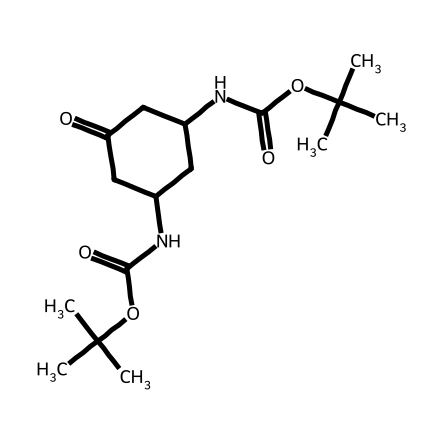 CC(C)(C)OC(=O)NC1CC(=O)CC(NC(=O)OC(C)(C)C)C1